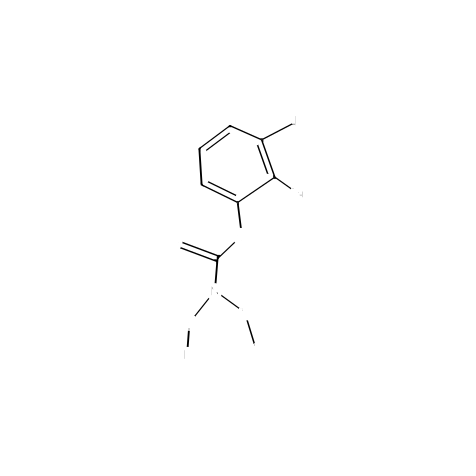 CCSN(SCC)C(=O)Oc1cccc(F)c1Br